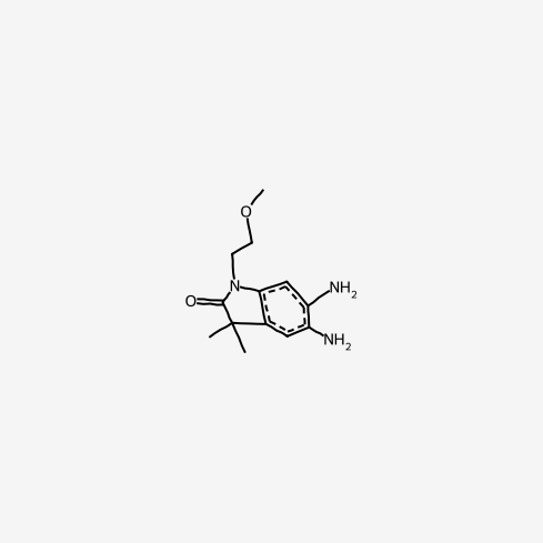 COCCN1C(=O)C(C)(C)c2cc(N)c(N)cc21